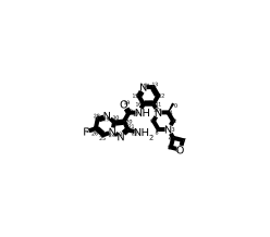 C[C@H]1CN(C2COC2)CCN1c1ccncc1NC(=O)c1c(N)nn2cc(F)cnc12